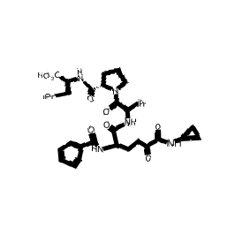 CC(C)CC(NC(=O)[C@@H]1CCCN1C(=O)C(NC(=O)C(CCC(=O)C(=O)NC1CC1)NC(=O)c1ccccc1)C(C)C)C(=O)O